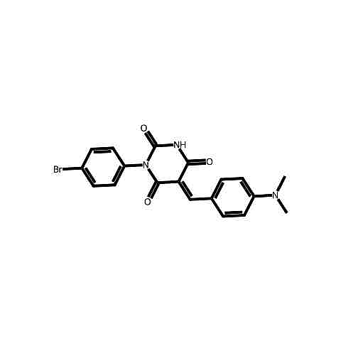 CN(C)c1ccc(/C=C2\C(=O)NC(=O)N(c3ccc(Br)cc3)C2=O)cc1